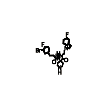 O=C(/C=C/c1ccc(F)c(Br)c1)NC1(C(=O)NCCn2ccc3cc(F)ccc32)CCNCC1